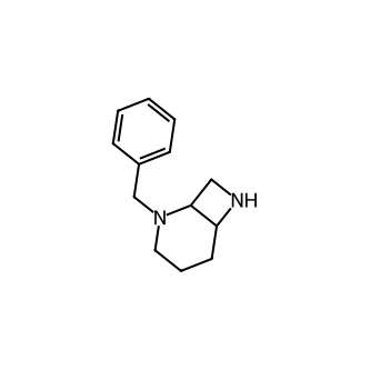 c1ccc(CN2CCCC3NCC32)cc1